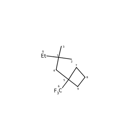 CCC(C)(C)CC1(C(F)(F)F)CCC1